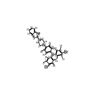 Cc1c(C)c(B(c2c(C)c(C)c(Br)c(C)c2C)c2c(C)c(C)c(N3CCN(c4nc5ccccc5s4)CC3)c(C)c2C)c(C)c(C)c1Br